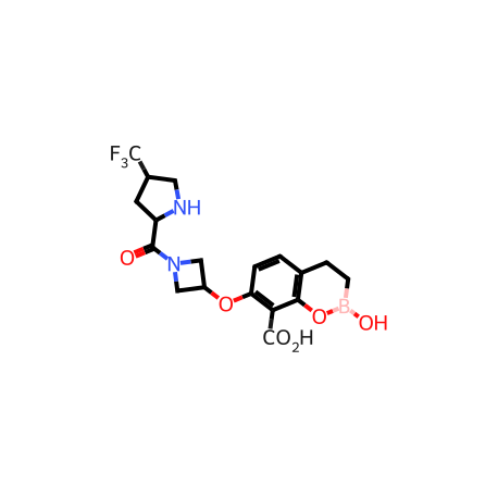 O=C(O)c1c(OC2CN(C(=O)C3CC(C(F)(F)F)CN3)C2)ccc2c1OB(O)CC2